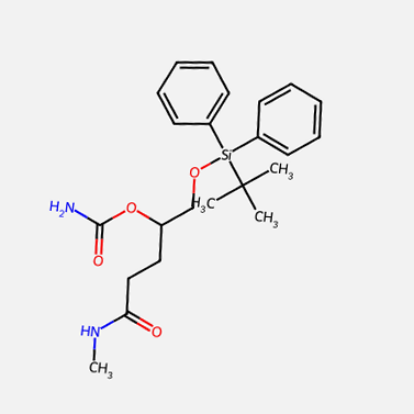 CNC(=O)CCC(CO[Si](c1ccccc1)(c1ccccc1)C(C)(C)C)OC(N)=O